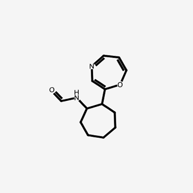 O=CNC1CCCCCC1C1=CN=CC=CO1